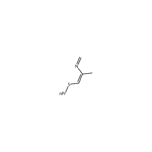 C=N/C(C)=C\SCCC